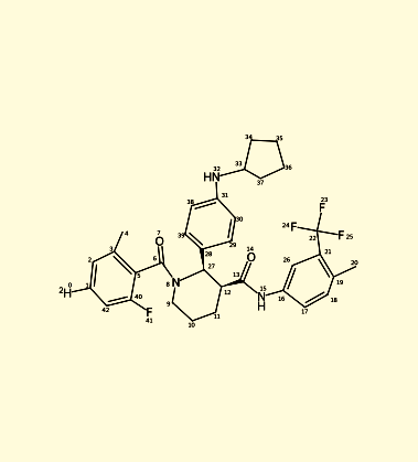 [2H]c1cc(C)c(C(=O)N2CCC[C@H](C(=O)Nc3ccc(C)c(C(F)(F)F)c3)[C@@H]2c2ccc(NC3CCCC3)cc2)c(F)c1